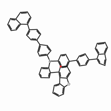 c1ccc(N(c2ccc(-c3ccc(-c4cccc5ccccc45)cc3)cc2)c2ccc(-c3ccc(-c4cccc5ccccc45)cc3)cc2)c(-c2cccc3oc4ccccc4c23)c1